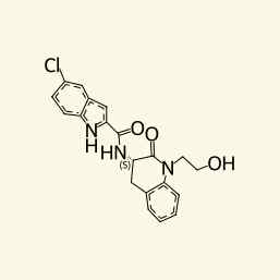 O=C(N[C@H]1Cc2ccccc2N(CCO)C1=O)c1cc2cc(Cl)ccc2[nH]1